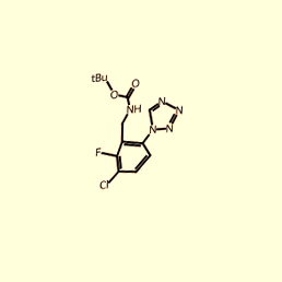 CC(C)(C)OC(=O)NCc1c(-n2cnnn2)ccc(Cl)c1F